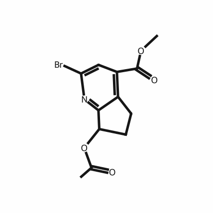 COC(=O)c1cc(Br)nc2c1CCC2OC(C)=O